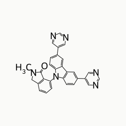 CN1Cc2cccc(-n3c4ccc(-c5cncnc5)cc4c4cc(-c5cncnc5)ccc43)c2C1=O